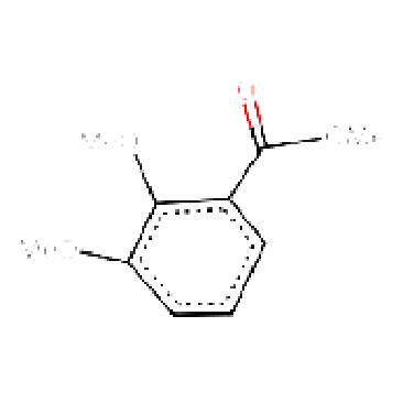 COC(=O)c1cc[c]c(OC)c1OC